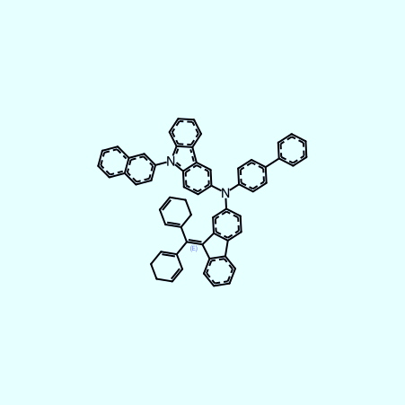 C1=CCCC(/C(C2=CCCC=C2)=C2/c3ccccc3-c3ccc(N(c4ccc(-c5ccccc5)cc4)c4ccc5c(c4)c4ccccc4n5-c4ccc5ccccc5c4)cc32)=C1